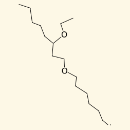 [CH2]CCCCCCOCCC(CCCCC)OCC